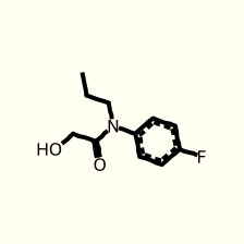 CCCN(C(=O)CO)c1ccc(F)cc1